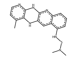 Cc1ccnc2c1Nc1cc3c(NSN(C)C)cccc3nc1N2